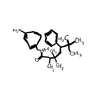 CC(C(=O)Nc1ccc(N)cc1)C(C)(C)CC(c1ccccc1)C(C)(C)C